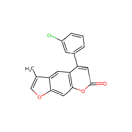 Cc1coc2cc3oc(=O)cc(-c4cccc(Cl)c4)c3cc12